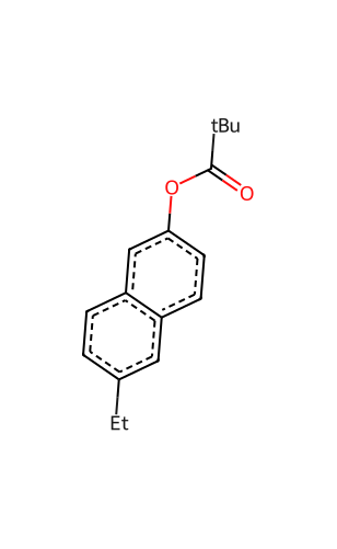 CCc1ccc2cc(OC(=O)C(C)(C)C)ccc2c1